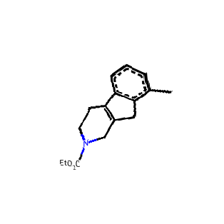 CCOC(=O)N1CCC2=C(Cc3c(C)cccc32)C1